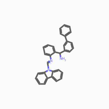 NC(c1cccc(-c2ccccc2)c1)c1ccccc1/N=C/n1c2ccccc2c2ccccc21